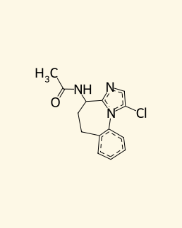 CC(=O)NC1CCc2ccccc2-n2c(Cl)cnc21